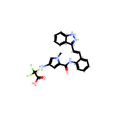 Cn1cc(N)cc1C(=O)Nc1ccccc1C=Cc1n[nH]c2ccccc12.O=C(O)C(F)(F)F